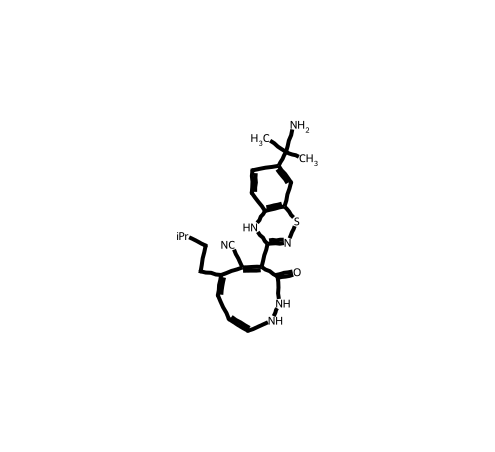 CC(C)CCc1ccc[nH][nH]c(=O)c(C2=NSc3cc(C(C)(C)N)ccc3N2)c1C#N